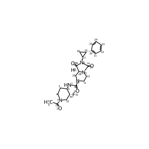 CC(=O)N1CC[C@@H](NC(=O)N2CCN3C(=O)N([C@H]4C[C@@H]4c4ccccc4)C(=O)[C@@H]3C2)[C@H](F)C1